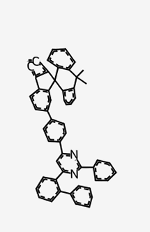 CC1(C)c2ccccc2C2(c3ccccc3-c3ccc(-c4ccc(-c5cc(-c6ccccc6-c6ccccc6)nc(-c6ccccc6)n5)cc4)cc32)c2ccccc21